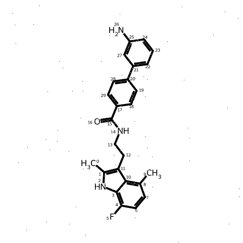 Cc1[nH]c2c(F)ccc(C)c2c1CCNC(=O)c1ccc(-c2cccc(N)c2)cc1